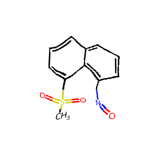 CS(=O)(=O)c1cccc2cccc(N=O)c12